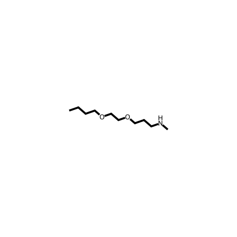 CCCCOCCOCCCNC